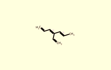 C=C/C=C(C=C)/C=C/C